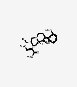 CO/C=C(/C(=O)OC)[C@H]1C[C@H]2c3[nH]c4cccc(OC)c4c3CCN2C[C@H]1CBr